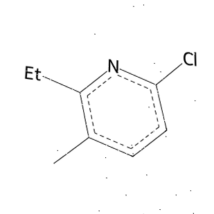 [CH2]Cc1nc(Cl)ccc1C